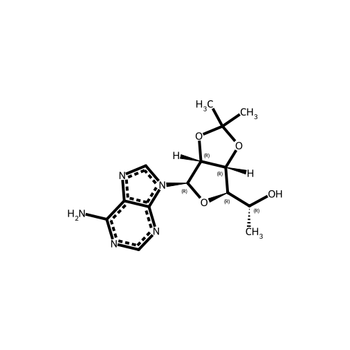 C[C@@H](O)[C@H]1O[C@@H](n2cnc3c(N)ncnc32)[C@@H]2OC(C)(C)O[C@@H]21